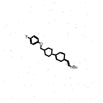 CCCC/C=C/C1CCC(C2CCC(COc3ccc(F)cc3)CC2)CC1